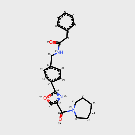 O=C(Cc1ccccc1)NCc1ccc(-c2nc(C(=O)N3CCCCCC3)co2)cc1